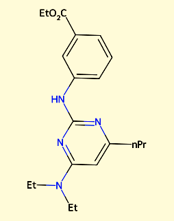 CCCc1cc(N(CC)CC)nc(Nc2cccc(C(=O)OCC)c2)n1